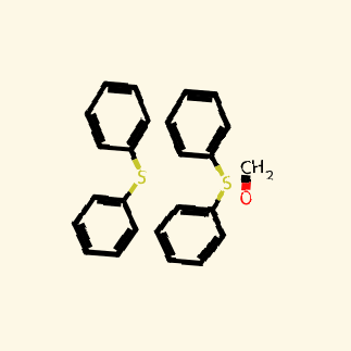 C=O.c1ccc(Sc2ccccc2)cc1.c1ccc(Sc2ccccc2)cc1